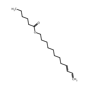 C=C/C=C/CCCCCCCCOC(=O)CCCCC